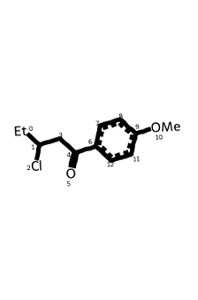 CCC(Cl)CC(=O)c1ccc(OC)cc1